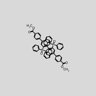 COC(=O)c1ccc(-c2cc(P(=O)(c3ccccc3)c3ccccc3)c(-c3c(P(=O)(c4ccccc4)c4ccccc4)cc(-c4ccc(C(=O)OC)cc4)c4ccccc34)c3ccccc23)cc1